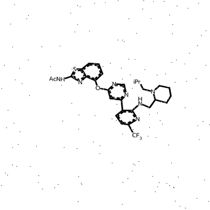 CC(=O)Nc1nc2c(Oc3cc(-c4ccc(C(F)(F)F)nc4NCC4CCCCN4CC(C)C)ncn3)cccc2s1